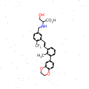 Cc1c(C=Cc2cc(CNC(CO)C(=O)O)ccc2C(F)(F)F)cccc1-c1ccc2c(c1)OCCO2